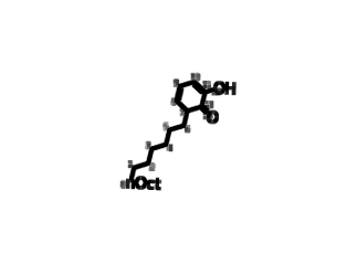 CCCCCCCCCCCCCCC1C=CC=C(O)C1=O